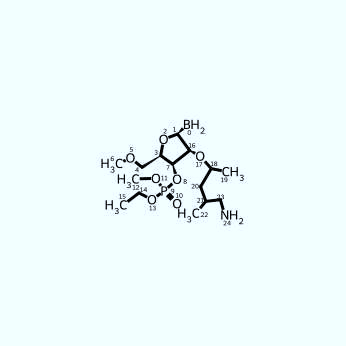 B[C@@H]1O[C@H](COC)[C@H](OP(=O)(OC)OCC)[C@@H]1OC(C)CC(C)CN